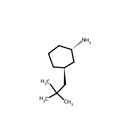 CC(C)(C)C[C@H]1CCC[C@H](N)C1